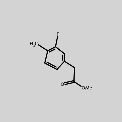 COC(=O)Cc1ccc(C)c(F)c1